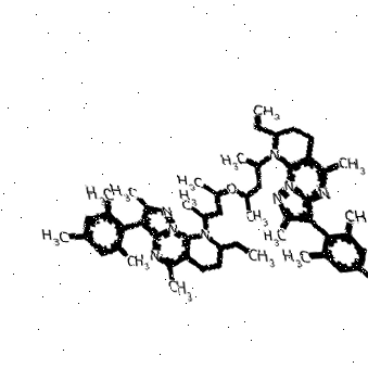 CCC1CCc2c(C)nc3c(-c4c(C)cc(C)cc4C)c(C)nn3c2N1C(C)CC(C)OC(C)CC(C)N1c2c(c(C)nc3c(-c4c(C)cc(C)cc4C)c(C)nn23)CCC1CC